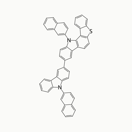 c1ccc2cc(-n3c4ccccc4c4cc(-c5ccc6c(c5)c5ccc7sc8ccccc8c7c5n6-c5ccc6ccccc6c5)ccc43)ccc2c1